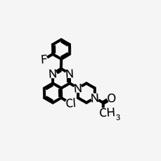 CC(=O)N1CCN(c2nc(-c3ccccc3F)nc3cccc(Cl)c23)CC1